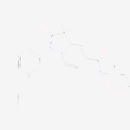 CC1(C)C(=O)N(c2cccc(OC(F)F)c2)c2ccc(C(=O)NS3(C)CCOO3)cc21